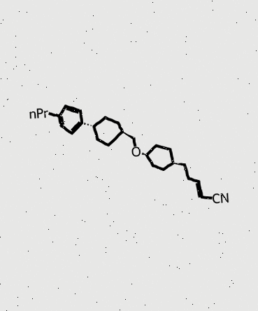 CCCc1ccc([C@H]2CC[C@H](CO[C@H]3CC[C@H](CC/C=C/C#N)CC3)CC2)cc1